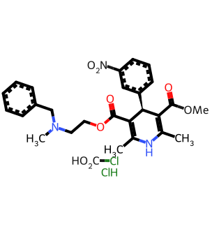 COC(=O)C1=C(C)NC(C)=C(C(=O)OCCN(C)Cc2ccccc2)[C@H]1c1cccc([N+](=O)[O-])c1.Cl.O=C(O)Cl